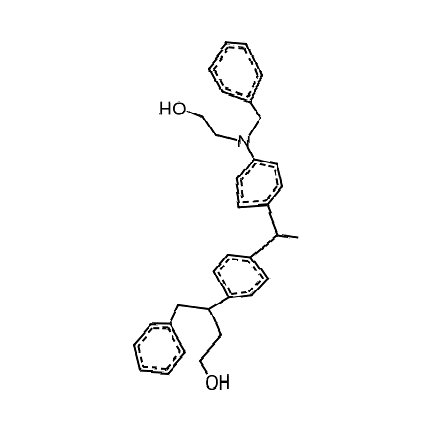 CC(c1ccc(C(CCO)Cc2ccccc2)cc1)c1ccc(N(CCO)Cc2ccccc2)cc1